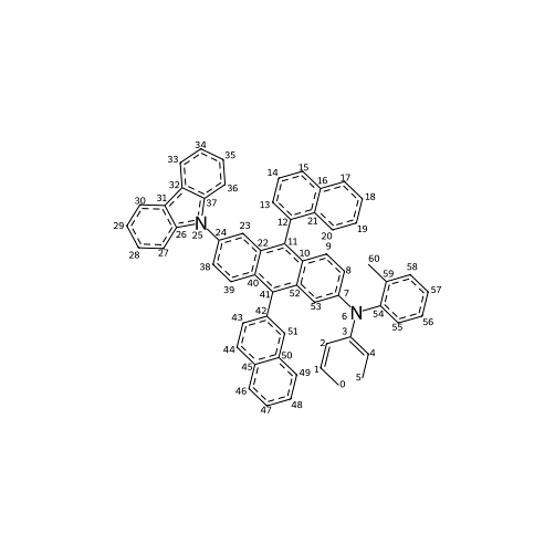 C/C=C\C(=C/C)N(c1ccc2c(-c3cccc4ccccc34)c3cc(-n4c5ccccc5c5ccccc54)ccc3c(-c3ccc4ccccc4c3)c2c1)c1ccccc1C